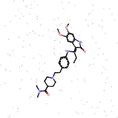 CC/C(Nc1ccc(CCN2CCC(C(=O)N(C)C)CC2)cc1)=C1\C(=O)Nc2cc(OC)c(OC)cc21